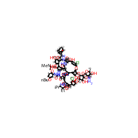 CCCCOc1ccc(OCCNC)c(NC(=O)NC(=O)C[C@@H]2CC(=O)[C@H](NC(=O)[C@H](CC)CC(C)C)[C@H](O)c3ccc(c(Cl)c3)Oc3cc4cc(c3O[C@@H]3O[C@H](CO)[C@@H](O)[C@H](O)[C@H]3O[C@H]3C[C@](C)(N)[C@H](O)[C@H](C)O3)Oc3ccc(cc3Cl)[C@@H](O)[C@@H]3NC(=O)[C@H](CC(=O)[C@@H]4NC2=O)c2ccc(O)c(c2)-c2c(O)cc(O)cc2[C@@H](C(=O)CC2C4CC5CC(C4)CC2C5)NC3=O)c1